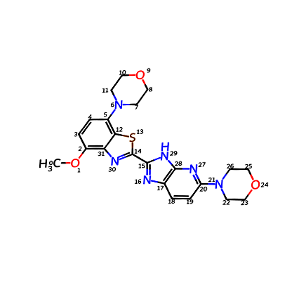 COc1ccc(N2CCOCC2)c2sc(-c3nc4ccc(N5CCOCC5)nc4[nH]3)nc12